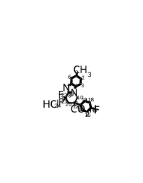 Cc1ccc2c(c1)nc1n2CC(C(=O)O)(c2ccc(F)cc2)CC1(F)F.Cl